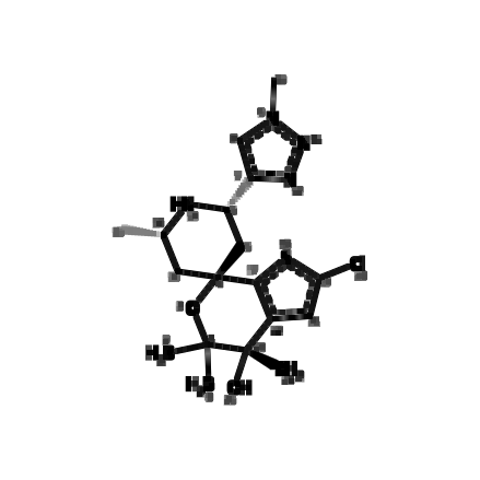 BC1(B)O[C@@]2(C[C@@H](c3cn(C)nn3)N[C@@H](C)C2)c2sc(Cl)cc2[C@]1(B)O